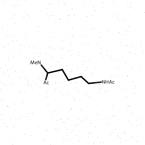 CNC(CCCCNC(C)=O)C(C)=O